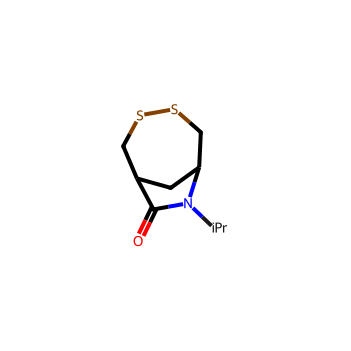 CC(C)N1C(=O)C2CSSCC1C2